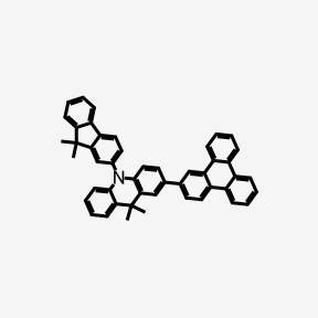 CC1(C)c2ccccc2-c2ccc(N3c4ccccc4C(C)(C)c4cc(-c5ccc6c7ccccc7c7ccccc7c6c5)ccc43)cc21